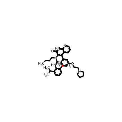 CCCCN(C(=O)Nc1c(C(C)C)cccc1C(C)C)c1c(-c2cccc(OCCN3CCCC3)c2)c2cccnc2[nH]c1=O